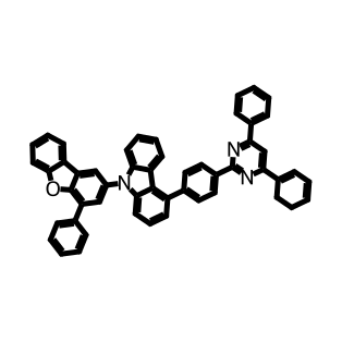 C1=CCCC(c2cc(-c3ccccc3)nc(-c3ccc(-c4cccc5c4c4ccccc4n5-c4cc(-c5ccccc5)c5oc6ccccc6c5c4)cc3)n2)=C1